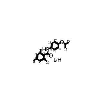 Cc1cc(C)c(C(=O)Pc2ccc(OC(C)C)cc2)c(C)c1.[LiH]